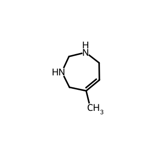 CC1=CCNCNC1